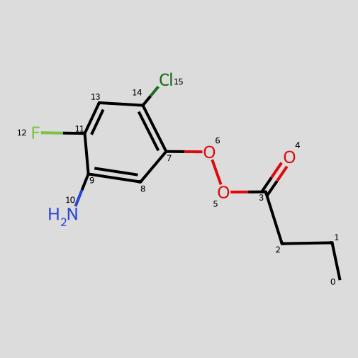 CCCC(=O)OOc1cc(N)c(F)cc1Cl